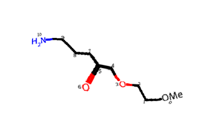 COCCOCC(=O)CCCN